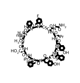 CCCC[C@H]1C(=O)N(C)CC(=O)N[C@@H](CC(=O)O)C(=O)N[C@@H](C(C)C)C(=O)N(C)[C@@H](Cc2ccccc2)C(=O)N[C@H]2Cc3ccc(O)cc3N(CC(=O)N[C@@H](Cc3csc4ccccc34)C(=O)NC(Cc3ccc(O)cc3)C(=O)N[C@@H](CC(C)C)C(=O)N[C@H](C(=O)NCC(N)=O)CSCC(=O)N[C@@H](Cc3cccc(F)c3)C(=O)N(C)[C@@H](Cc3ccccc3)C(=O)N1C)C2=O